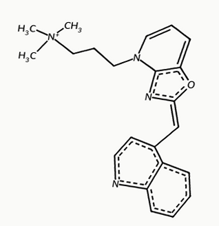 C[N+](C)(C)CCCN1C=CC=c2oc(=Cc3ccnc4ccccc34)nc21